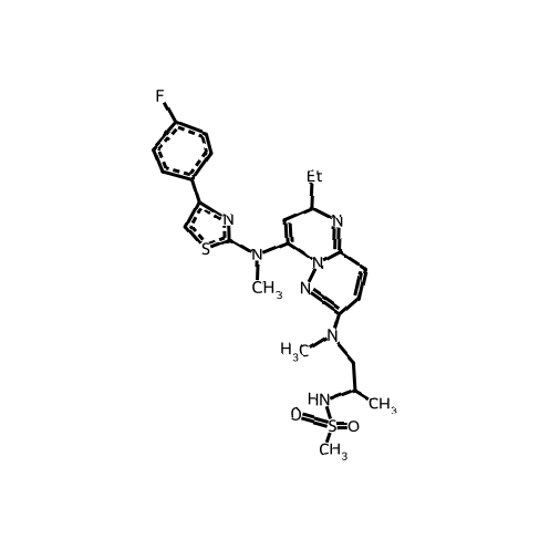 CCC1C=C(N(C)c2nc(-c3ccc(F)cc3)cs2)N2N=C(N(C)CC(C)NS(C)(=O)=O)C=CC2=N1